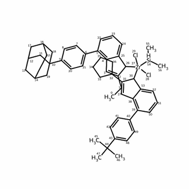 CCC1=Cc2c(-c3ccc(C45CC6CC(CC(C6)C4)C5)cc3)cccc2[CH]1[Zr]([Cl])([Cl])([CH]1C(C2CCCC2)=Cc2c(-c3ccc(C(C)(C)C)cc3)cccc21)[SiH](C)C